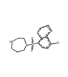 O=S(=O)(c1ccc(Cl)c2ncccc12)N1CCCNCC1